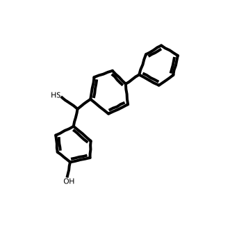 Oc1ccc(C(S)c2ccc(-c3ccccc3)cc2)cc1